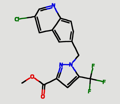 COC(=O)c1cc(C(F)(F)F)n(Cc2ccc3ncc(Cl)cc3c2)n1